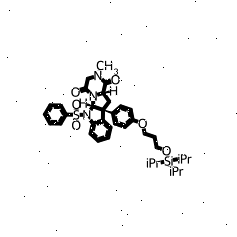 CC(C)[Si](OCCCOc1ccc([C@]23C[C@H]4C(=O)N(C)CC(=O)N4[C@H]2N(S(=O)(=O)c2ccccc2)c2ccccc23)cc1)(C(C)C)C(C)C